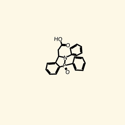 O=C(O)CC1c2ccccc2P(=O)(c2ccccc2)N1c1ccccc1